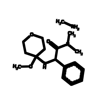 CN.COC1(NC(C(=O)N(C)C)c2ccccc2)CCOCC1